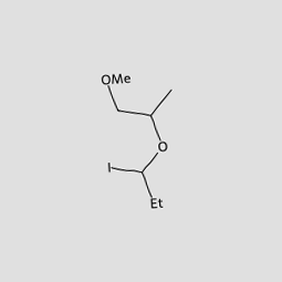 CCC(I)OC(C)COC